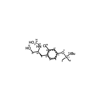 CC(C)(C)[Si](C)(C)Oc1ccc(C[C@@H](CO)NC(=O)O)c(Cl)c1